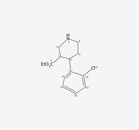 CCOC(=O)C1CNCCC1c1ccccc1Cl